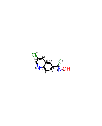 O/N=C(\Cl)c1ccc2ncc(Cl)cc2c1